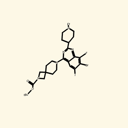 CCN1CCC(c2nc(N3CCC4(CC3)CN(C(=O)OC(C)(C)C)C4)c3cc(I)c(Br)c(F)c3n2)CC1